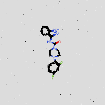 O=C(Nc1n[nH]c2ccccc12)N1CCN(c2ccc(F)cc2F)CC1